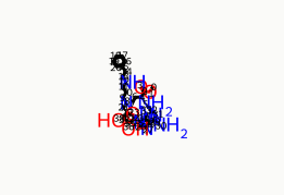 COC(=O)[C@@H](N)CCN(CCCNCCc1ccccc1)C[C@H]1O[C@@H](n2cnc3c(N)ncnc32)[C@H](O)[C@@H]1O